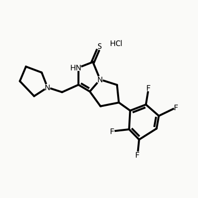 Cl.Fc1cc(F)c(F)c(C2Cc3c(CN4CCCC4)[nH]c(=S)n3C2)c1F